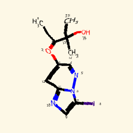 CC(Oc1cnn2c(I)cnc2c1)C(C)(C)O